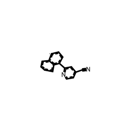 N#Cc1ccnc(-c2cc[c]c3ccccc23)c1